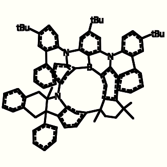 CC(C)(C)c1ccc(N2c3ccc4cc3B3c5cc6c(cc5N(c5ccc(C(C)(C)C)cc5-c5ccccc5)c5cc(C(C)(C)C)cc2c53)C(C)(C)CCC6(C)c2ccc3c(c2)N4C2(C)Cc4ccccc4CC32c2ccccc2)c(-c2ccccc2)c1